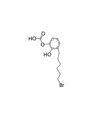 O=C(O)Oc1cccc(CCCCCCBr)c1O